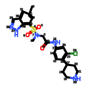 Cc1cc(S(=O)(=O)N(C)CC(=O)Nc2ccc(C3CCNCC3)c(Cl)c2)c2[nH]ncc2c1